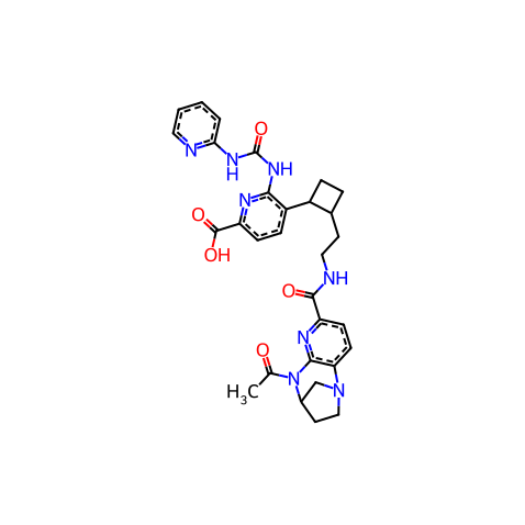 CC(=O)N1c2nc(C(=O)NCCC3CCC3c3ccc(C(=O)O)nc3NC(=O)Nc3ccccn3)ccc2N2CCC1C2